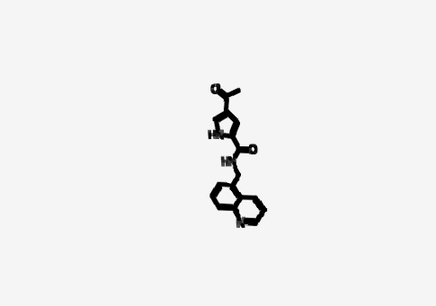 CC(=O)c1c[nH]c(C(=O)NCc2cccc3ncccc23)c1